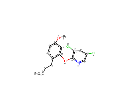 CCOC(=O)CCc1ccc(OC(C)C)cc1Oc1ncc(Cl)cc1Cl